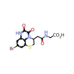 O=C(O)CNC(=O)CC1CSc2cc(Br)cc3[nH]c(=O)c(=O)n1c23